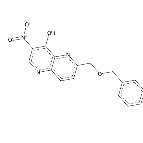 O=[N+]([O-])c1cnc2ccc(COCc3ccccc3)nc2c1O